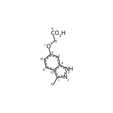 Cc1n[nH]c2cc(OCC(=O)O)ccc12